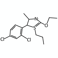 CCCS1=C(OCC)[N]C(C)C1c1ccc(Cl)cc1Cl